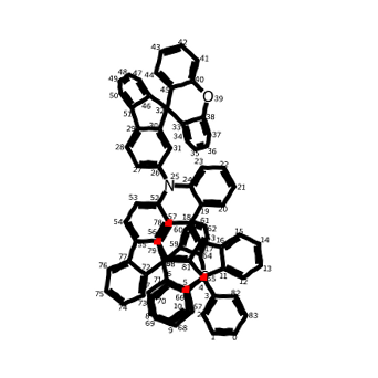 c1ccc(C2(c3ccccc3)c3ccccc3-c3c(-c4ccccc4N(c4ccc5c(c4)C4(c6ccccc6Oc6ccccc64)c4ccccc4-5)c4ccc5c(c4)C4(c6ccccc6Sc6ccccc64)c4ccccc4-5)cccc32)cc1